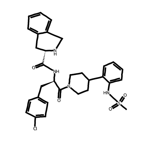 CS(=O)(=O)Nc1ccccc1C1CCN(C(=O)[C@@H](Cc2ccc(Cl)cc2)NC(=O)[C@@H]2Cc3ccccc3CN2)CC1